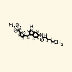 CCCCCC(=O)Nc1ccc2c(Cc3ccc(C(=O)OC)o3)c[nH]c2c1